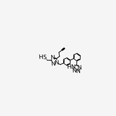 C#CCCc1nc(CS)nn1Cc1ccc(-c2ccccc2-c2nnn[nH]2)cc1